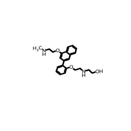 CNCCOc1cc(-c2ccccc2OCCNCCO)cc2ccccc12